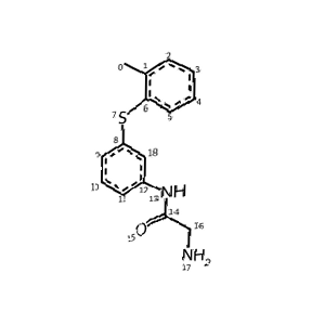 Cc1ccccc1Sc1cccc(NC(=O)CN)c1